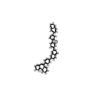 c1ccc2cc(-c3ccc4c(c3)oc3cc(-c5ccc6ccc(-c7ccc(-c8cc9ccccc9c9ccccc89)cc7)cc6c5)ccc34)ccc2c1